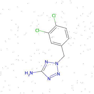 Nc1nnn(Cc2ccc(Cl)c(Cl)c2)n1